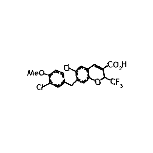 COc1ccc(Cc2cc3c(cc2Cl)C=C(C(=O)O)C(C(F)(F)F)O3)cc1Cl